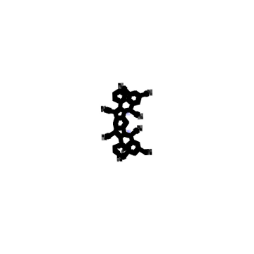 N#CC1=C(c2ccccc2)/C(=C(/C#N)c2cc(C#N)cc(C#N)c2)c2cc3c(cc21)C(C#N)=C(c1ccccc1)/C3=C(/C#N)c1cc(C#N)cc(C#N)c1